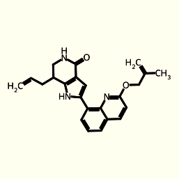 C=CCC1CNC(=O)c2cc(-c3cccc4ccc(OCC(=C)C)nc34)[nH]c21